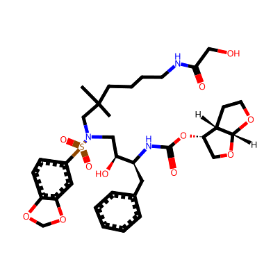 CC(C)(CCCCNC(=O)CO)CN(C[C@H](O)[C@H](Cc1ccccc1)NC(=O)O[C@H]1CO[C@H]2OCC[C@H]21)S(=O)(=O)c1ccc2c(c1)OCO2